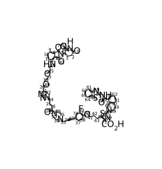 O=C1CCC(N2C(=O)c3cccc(NCCOCCOCc4cn(CCCC(=O)N5CCN(CC#Cc6ccc(OCCCc7sc(N8CCc9cccc(C(=O)Nc%10nc%11ccccc%11s%10)c9C8)nc7C(=O)O)c(F)c6)CC5)nn4)c3C2=O)C(=O)N1